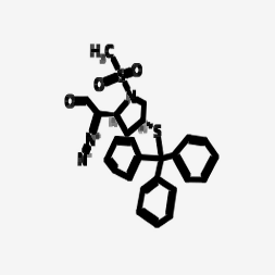 CS(=O)(=O)N1C[C@H](SC(c2ccccc2)(c2ccccc2)c2ccccc2)C[C@H]1C(C=O)=[N+]=[N-]